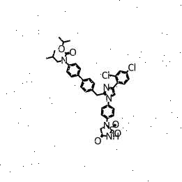 CC(C)CN(C(=O)OC(C)C)c1ccc(-c2ccc(Cc3nc(-c4ccc(Cl)cc4Cl)cn3-c3ccc(N4CC(=O)NS4(=O)=O)cc3)cc2)cc1